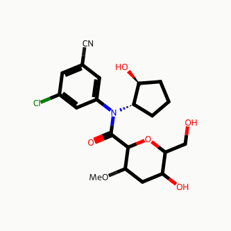 COC1CC(O)C(CO)OC1C(=O)N(c1cc(Cl)cc(C#N)c1)[C@H]1CCC[C@@H]1O